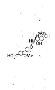 COc1cc(C(=O)O)ccc1-c1cc(C)c(OCCN[C@@H](C)[C@H](O)c2ccc(O)c(S(C)(=O)=O)c2N)c(C)c1